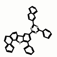 c1ccc(-c2nc(-c3ccc4ccccc4c3)nc(-c3cc(-c4ccccc4)c4sc5c(ccc6ccc7ccccc7c65)c4c3)n2)cc1